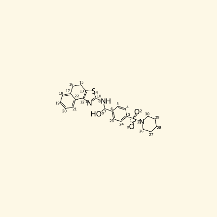 O=S(=O)(c1ccc(C(O)Nc2nc3c(s2)CCc2ccccc2-3)cc1)N1CCCCC1